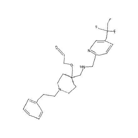 O=CCOC1(CNCc2ccc(C(F)(F)F)cn2)CCN(CCc2ccccc2)CC1